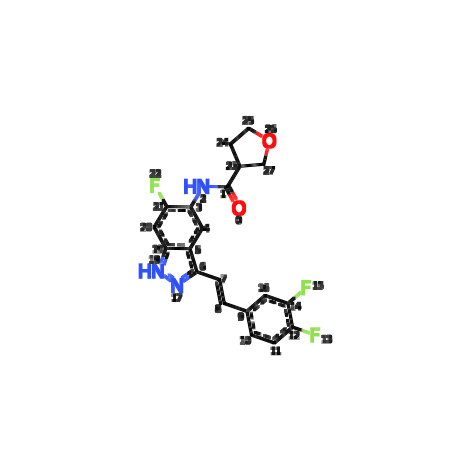 O=C(Nc1cc2c(/C=C/c3ccc(F)c(F)c3)n[nH]c2cc1F)C1CCOC1